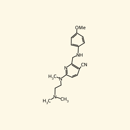 COc1ccc(NCc2nc(N(C)CCN(C)C)ccc2C#N)cc1